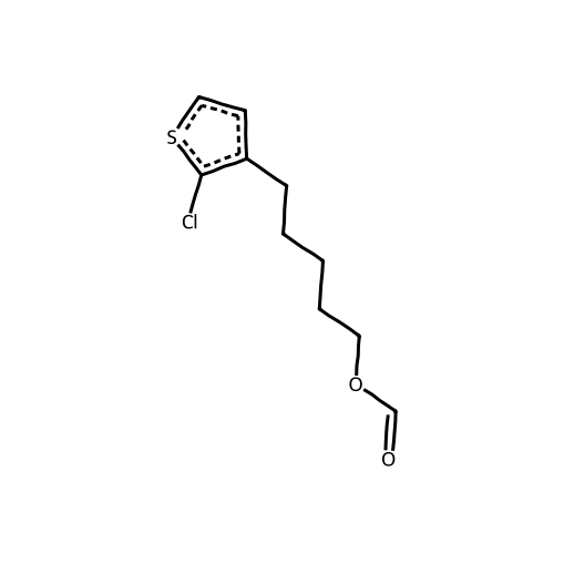 O=COCCCCCc1ccsc1Cl